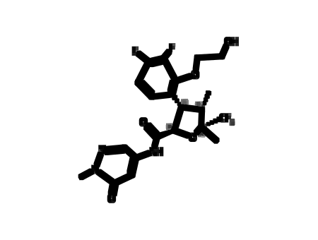 C[C@H]1[C@@H](c2ccc(F)c(F)c2OCCO)[C@H](C(=O)Nc2cnn(C)c(=O)c2)O[C@@]1(C)C(F)(F)F